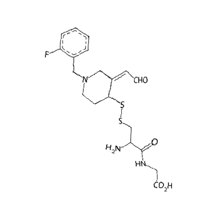 NC(CSSC1CCN(Cc2ccccc2F)C/C1=C/C=O)C(=O)NCC(=O)O